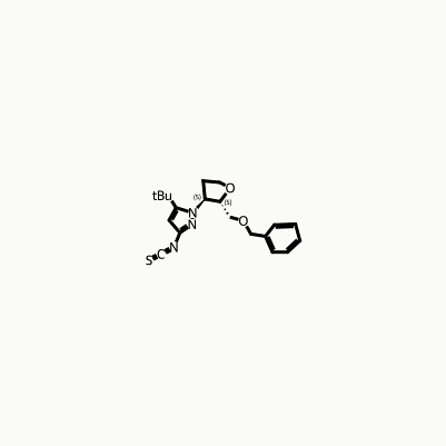 CC(C)(C)c1cc(N=C=S)nn1[C@H]1CCO[C@@H]1COCc1ccccc1